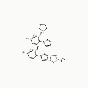 Fc1[c-]c(F)c(-n2cccc2)cc1.Fc1[c-]c(F)c(-n2cccc2)cc1.[CH]1[CH][CH][CH][CH]1.[CH]1[CH][CH][CH][CH]1.[Ti+2]